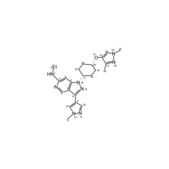 CCNc1cc2c(cn1)c(-c1cnn(C)c1)nn2[C@H]1CC[C@@H](Oc2cn(C)nc2C)CC1